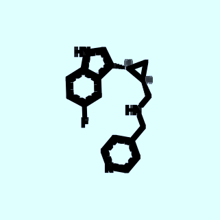 Fc1ccc2[nH]cc([C@@H]3C[C@H]3CNCc3ccncc3)c2c1